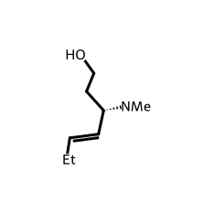 CC/C=C/[C@H](CCO)NC